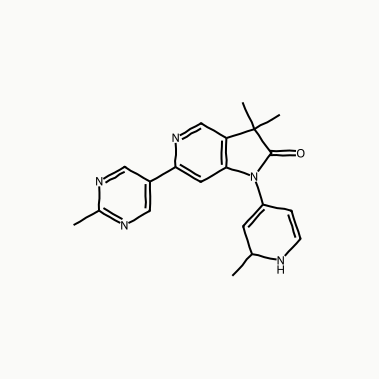 Cc1ncc(-c2cc3c(cn2)C(C)(C)C(=O)N3C2=CC(C)NC=C2)cn1